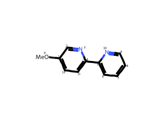 COc1[c]nc(-c2ccccn2)cc1